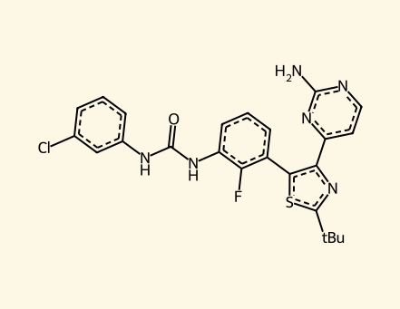 CC(C)(C)c1nc(-c2ccnc(N)n2)c(-c2cccc(NC(=O)Nc3cccc(Cl)c3)c2F)s1